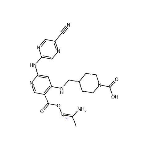 C/C(N)=N/OC(=O)c1cnc(Nc2cnc(C#N)cn2)cc1NCC1CCN(C(=O)O)CC1